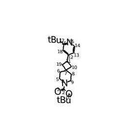 CC(C)(C)OC(=O)N1CCC2(CC1)CC(c1ccnc(C(C)(C)C)c1)C2